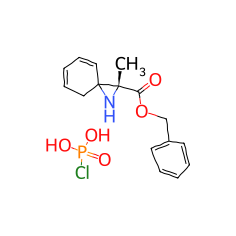 C[C@@]1(C(=O)OCc2ccccc2)NC12C=CC=CC2.O=P(O)(O)Cl